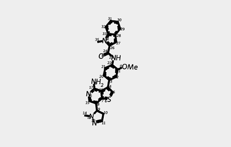 COc1cc(-c2csc3c(C4CC=NN4C)cnc(N)c23)ccc1NC(=O)c1cc2ccccc2n1C